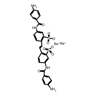 Nc1ccc(C(=O)Nc2ccc(C=Cc3ccc(NC(=O)c4ccc(N)cc4)cc3S(=O)(=O)[O-])c(S(=O)(=O)[O-])c2)cc1.[Na+].[Na+]